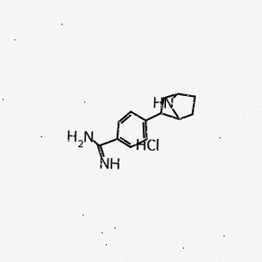 Cl.N=C(N)c1ccc(C2CC3CCC2N3)cc1